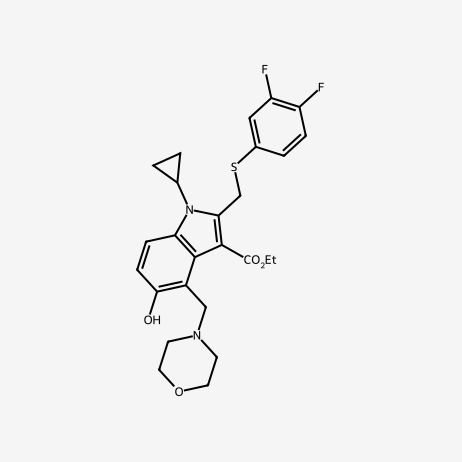 CCOC(=O)c1c(CSc2ccc(F)c(F)c2)n(C2CC2)c2ccc(O)c(CN3CCOCC3)c12